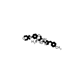 Cc1ccc(Cc2cnn(C(=O)NC3COc4ccc(N5CC6(CCOCC6)C5)cc4N(C)C3=O)c2)cc1